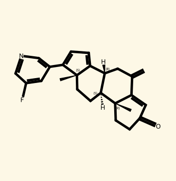 C=C1C[C@H]2C3=CC=C(c4cncc(F)c4)[C@@]3(C)CC[C@@H]2[C@@]2(C)CCC(=O)C=C12